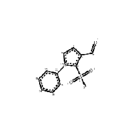 CS(=O)(=O)c1c(C=O)ccn1-c1ccccc1